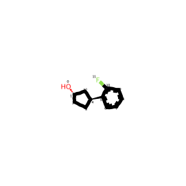 O[C@H]1CC[C@H](c2ccccc2F)C1